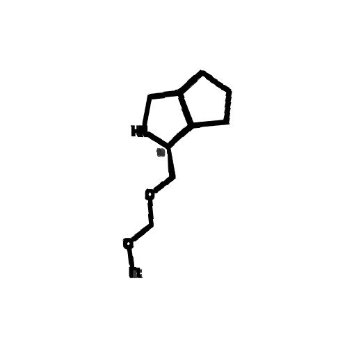 CCOCOC[C@H]1NCC2CCCC21